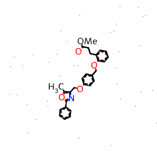 COC(=O)CCc1ccccc1OCc1ccc(OCc2nc(-c3ccccc3)oc2C)cc1